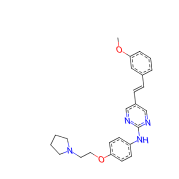 COc1cccc(C=Cc2cnc(Nc3ccc(OCCN4CCCC4)cc3)nc2)c1